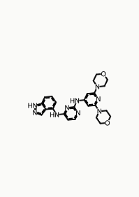 c1cc(Nc2ccnc(Nc3cc(N4CCOCC4)nc(N4CCOCC4)c3)n2)c2cn[nH]c2c1